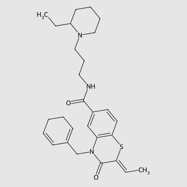 C/C=C1\Sc2ccc(C(=O)NCCCN3CCCCC3CC)cc2N(CC2=CCCC=C2)C1=O